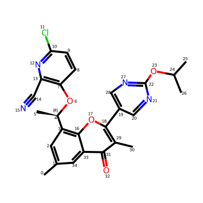 Cc1cc([C@@H](C)Oc2ccc(Cl)nc2C#N)c2oc(-c3cnc(OC(C)C)nc3)c(C)c(=O)c2c1